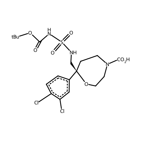 CC(C)(C)OC(=O)NS(=O)(=O)NC[C@@]1(c2ccc(Cl)c(Cl)c2)CCN(C(=O)O)CCO1